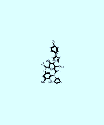 COC1C(C(=O)N(c2cc(Cl)cc(C#N)c2)[C@@H]2CCC[C@H]2O)OC(CO)C(O)C1n1cc(-c2ccc(Cl)cc2)nn1